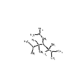 CN(C)[SiH2]N([Si](C)(C)N(C)C)[Si](C)(C)N(C)C